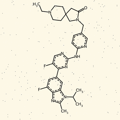 CCN1CCC2(CC1)CC(=O)N(Cc1ccc(Nc3ncc(F)c(-c4cc(F)c5nc(C)n(C(C)C)c5c4)n3)nc1)C2